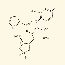 COC(=O)C1=C(CN2CC(F)(F)C[C@H]2C(=O)O)NC(c2nccs2)=N[C@H]1c1ccc(F)cc1Cl